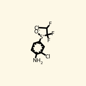 Nc1ccc([S+]([O-])C(F)(F)C(F)Cl)cc1Cl